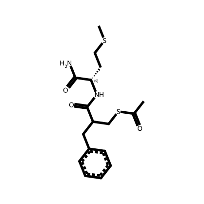 CSCC[C@H](NC(=O)C(CSC(C)=O)Cc1ccccc1)C(N)=O